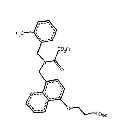 CCCCCCCCCCCCOc1ccc(CN(Cc2ccccc2C(F)(F)F)C(=O)C(=O)OCC)c2ccccc12